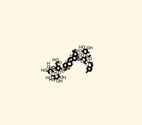 CC(=O)OC1C(OC(=O)/C=C\c2ccc(C)cc2)C(C)OC(OC(=O)[C@]23CCC(C)(C)C[C@H]2C2C=C[C@@H]4[C@@]5(C)CC[C@H](OC6CC(CC(=O)O)C(O)C(OC7OCC(O)C(O)C7O)C6OC6OC(CO)C(O)C(O)C6O)[C@@](C)(C=O)[C@@H]5CC[C@@]4(C)[C@]2(C)C[C@H]3O)C1OC1CC(C)C(O)C(O)C1O